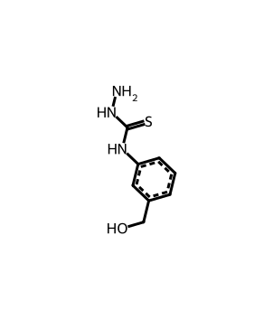 NNC(=S)Nc1cccc(CO)c1